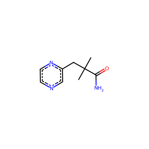 CC(C)(Cc1cnccn1)C(N)=O